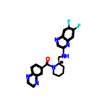 O=C(c1ccc2nccnc2c1)N1CCCC[C@H]1CNc1cnc2cc(F)c(F)cc2n1